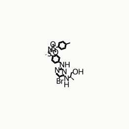 Cc1ccc(S(=O)(=O)N=[S@@](C)c2ccc(Nc3ncc(Br)c(N[C@H](C)CO)n3)cc2)cc1